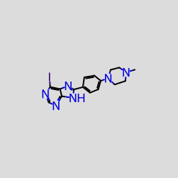 CN1CCN(c2ccc(-c3nc4c(I)ncnc4[nH]3)cc2)CC1